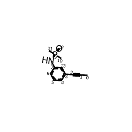 CC#Cc1cccc(NP(C)(C)=O)c1